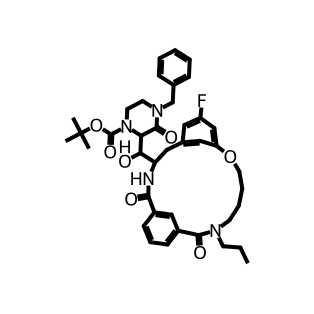 CCCN1CCCCOc2cc(F)cc(c2)CC(C(O)C2C(=O)N(Cc3ccccc3)CCN2C(=O)OC(C)(C)C)NC(=O)c2cccc(c2)C1=O